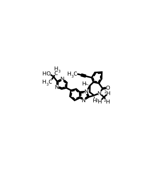 [2H]C([2H])([2H])N1C(=O)c2cccc(C#CC)c2[C@H]2C[C@@H]1c1nc3ccc(-c4cnc(C(C)(C)O)nc4)cc3n12